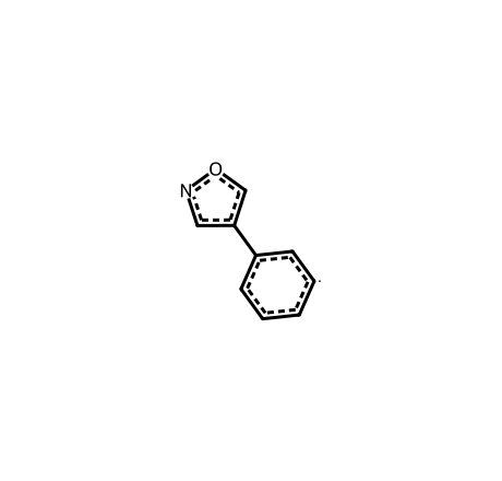 [c]1cccc(-c2cnoc2)c1